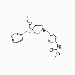 CCOCC1(CCc2ccccc2)CCN(Cc2ccc(NC(=O)OC)cc2)CC1